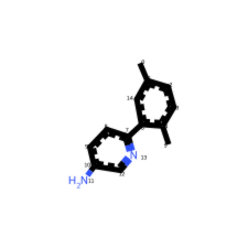 Cc1ccc(C)c(-c2ccc(N)cn2)c1